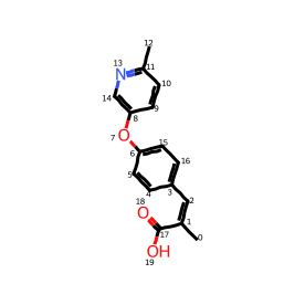 CC(=Cc1ccc(Oc2ccc(C)nc2)cc1)C(=O)O